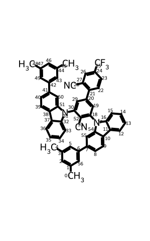 Cc1cc(C)cc(-c2ccc3c4ccccc4n(-c4cc(-c5ccc(C(F)(F)F)cc5C#N)cc(-n5c6ccccc6c6ccc(-c7cc(C)cc(C)c7)cc65)c4C#N)c3c2)c1